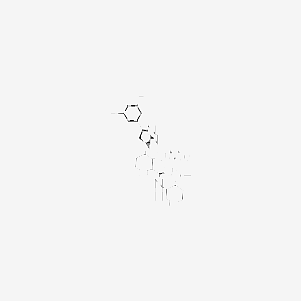 COC1C(C(=O)N[C@@H]2COCC[C@H]2O)OCCC1n1cc(-c2cc(F)c(F)c(F)c2)nn1